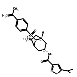 C=C(C)c1ccc(S(=O)(=O)N2C3C[C@@H](NC(=O)c4cc(C5CC5)on4)C[C@H]2CC3=C)cc1